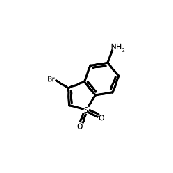 Nc1ccc2c(c1)C(Br)=CS2(=O)=O